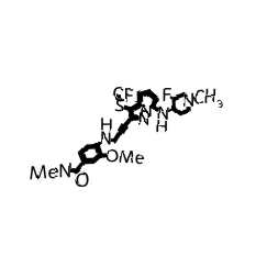 CNC(=O)c1ccc(NCC#Cc2nn3c(N[C@@H]4CCN(C)C[C@@H]4F)cccc3c2SC(F)(F)F)c(OC)c1